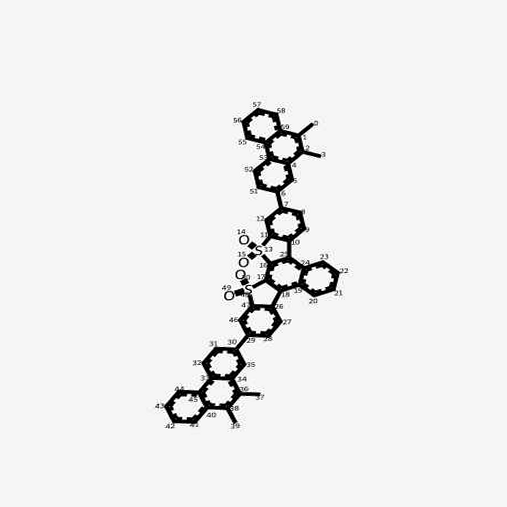 Cc1c(C)c2cc(-c3ccc4c(c3)S(=O)(=O)c3c5c(c6ccccc6c3-4)-c3ccc(-c4ccc6c(c4)c(C)c(C)c4ccccc46)cc3S5(=O)=O)ccc2c2ccccc12